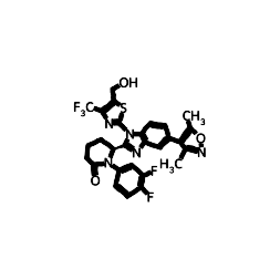 Cc1noc(C)c1-c1ccc2c(c1)nc([C@@H]1CCCC(=O)N1c1ccc(F)c(F)c1)n2-c1nc(C(F)(F)F)c(CO)s1